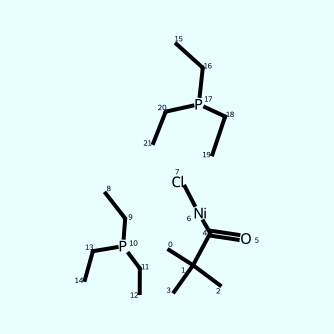 CC(C)(C)[C](=O)[Ni][Cl].CCP(CC)CC.CCP(CC)CC